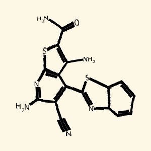 N#Cc1c(N)nc2sc(C(N)=O)c(N)c2c1C1=NC2C=CC=CC2S1